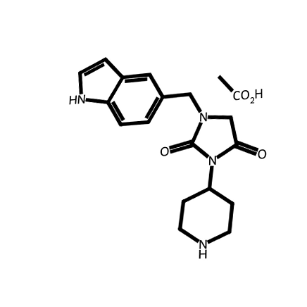 CC(=O)O.O=C1CN(Cc2ccc3[nH]ccc3c2)C(=O)N1C1CCNCC1